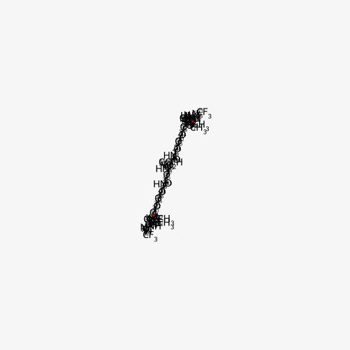 CC1(C)O[C@@H]2[C@@H](Nc3cncc(C(F)(F)F)n3)[C@H]3OC[C@](COCCOCCOCCOCCNC(=O)CCOCC(COCCC(=O)NCCOCCOCCOCCOC[C@@]45CO[C@@H](O4)[C@H](Nc4cncc(C(F)(F)F)n4)[C@H]4OC(C)(C)O[C@H]45)NC(=O)CC(=O)O)(O3)[C@@H]2O1